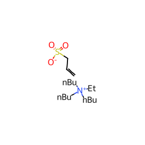 C=CCS(=O)(=O)[O-].CCCC[N+](CC)(CCCC)CCCC